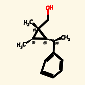 C[C@@H](c1ccccc1)[C@@H]1[C@H](C)[C@]1(C)CO